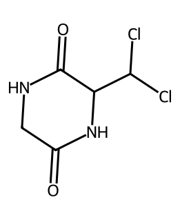 O=C1CNC(=O)C(C(Cl)Cl)N1